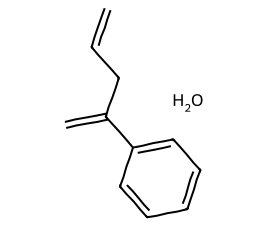 C=CCC(=C)c1ccccc1.O